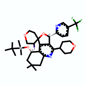 CC1(C)Cc2nc(C3CCOCC3)c3c(c2[C@@H](O[Si](C)(C)C(C)(C)C)C1)C1(CCOCC1I)O[C@@H]3c1ccc(C(F)(F)F)cn1